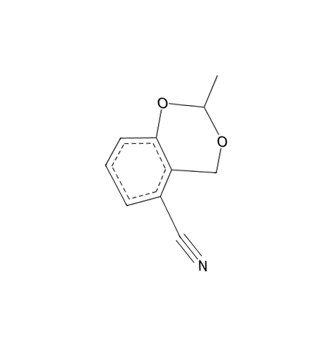 CC1OCc2c(C#N)cccc2O1